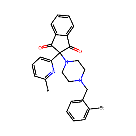 CCc1cccc(C2(N3CCN(Cc4ccccc4CC)CC3)C(=O)c3ccccc3C2=O)n1